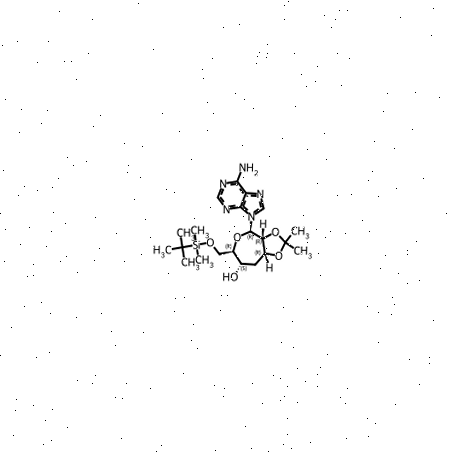 CC1(C)O[C@H]2[C@H](n3cnc4c(N)ncnc43)O[C@H](CO[Si](C)(C)C(C)(C)C)[C@@H](O)C[C@H]2O1